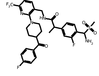 CC(C(=O)NCc1ccc(C(F)(F)F)nc1N1CCC(C(=O)c2ccc(F)cc2)CC1)c1ccc(C(N)S(C)(=O)=O)c(F)c1